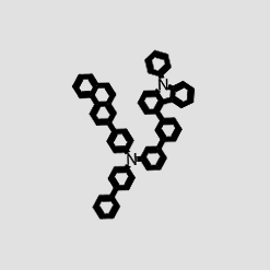 c1ccc(-c2ccc(N(c3ccc(-c4ccc5c(ccc6ccccc65)c4)cc3)c3cccc(-c4cccc(-c5cccc6c5c5ccccc5n6-c5ccccc5)c4)c3)cc2)cc1